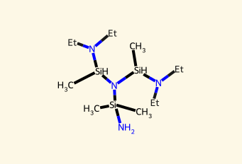 CCN(CC)[SiH](C)N([SiH](C)N(CC)CC)[Si](C)(C)N